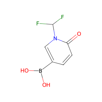 O=c1ccc(B(O)O)cn1C(F)F